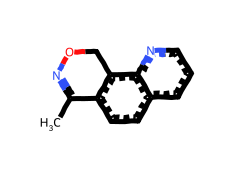 CC1=NOCc2c1ccc1cccnc21